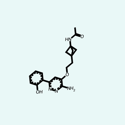 CC(=O)NC12CC(CCOc3cc(-c4ccccc4O)nnc3N)(C1)C2